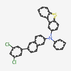 Clc1cc(Cl)cc(-c2ccc3cc(N(c4ccccc4)c4ccc5sc6ccccc6c5c4)ccc3c2)c1